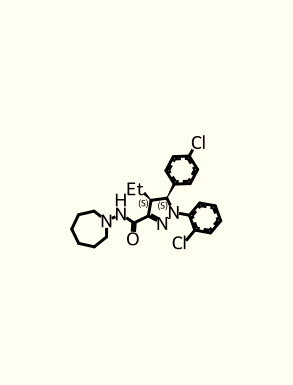 CC[C@@H]1C(C(=O)NN2CCCCCC2)=NN(c2ccccc2Cl)[C@@H]1c1ccc(Cl)cc1